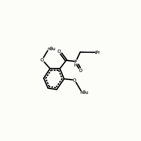 CCCCOc1cccc(OCCCC)c1C(=O)[PH](=O)CC(C)C